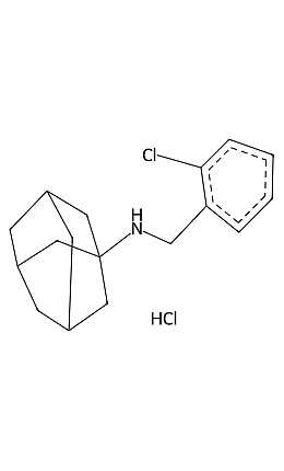 Cl.Clc1ccccc1CNC12CC3CC(CC(C3)C1)C2